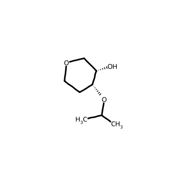 CC(C)O[C@@H]1CCOC[C@@H]1O